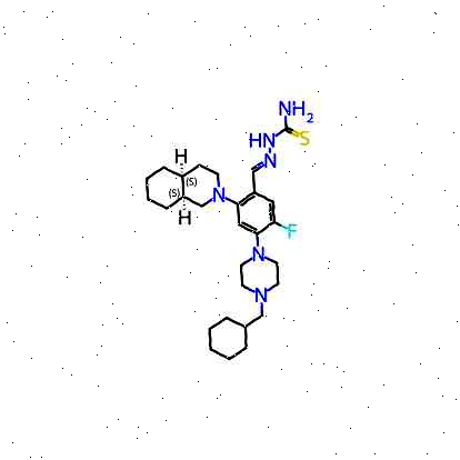 NC(=S)NN=Cc1cc(F)c(N2CCN(CC3CCCCC3)CC2)cc1N1CC[C@@H]2CCCC[C@@H]2C1